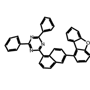 c1ccc(-c2nc(-c3ccccc3)nc(-c3cccc4cc(-c5cccc6oc7ccccc7c56)ccc34)n2)cc1